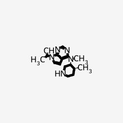 CC(C)n1ccc2c(N(C)[C@H]3CNCC[C@H]3C)ncnc21